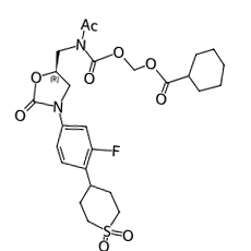 CC(=O)N(C[C@H]1CN(c2ccc(C3CCS(=O)(=O)CC3)c(F)c2)C(=O)O1)C(=O)OCOC(=O)C1CCCCC1